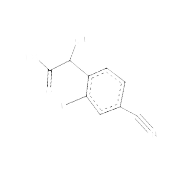 CC(C(=O)O)c1ccc(C#N)cc1F